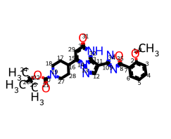 COc1ccccc1-c1nc(-c2cnn3c(C4CCN(C(=O)OC(C)(C)C)CC4)cc(=O)[nH]c23)no1